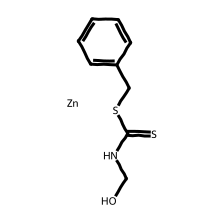 OCNC(=S)SCc1ccccc1.[Zn]